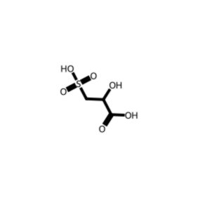 O=C(O)C(O)CS(=O)(=O)O